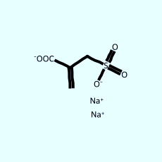 C=C(CS(=O)(=O)[O-])C(=O)[O-].[Na+].[Na+]